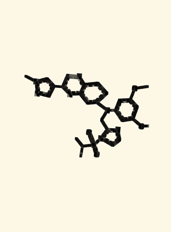 COc1cc(OC)cc(N(Cc2nccn2S(=O)(=O)C(C)C)c2ccc3ncc(-c4cnn(C)c4)nc3c2)c1